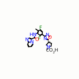 Cc1c(F)cc(-c2noc([C@@H]3CCN(C(=O)O)C3)n2)c(F)c1NC(=O)c1cnc2ccccn12